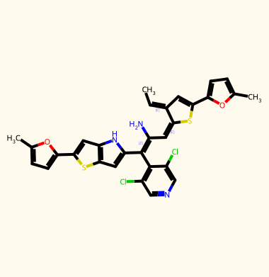 C\C=c1/cc(-c2ccc(C)o2)s/c1=C/C(N)=C(/c1cc2sc(-c3ccc(C)o3)cc2[nH]1)c1c(Cl)cncc1Cl